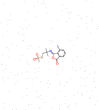 CC(C)(CSS(C)(=O)=O)N=C1OC(=O)c2cccc(I)c21